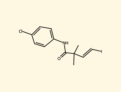 CC(C)(C=CI)C(=O)Nc1ccc(Cl)cc1